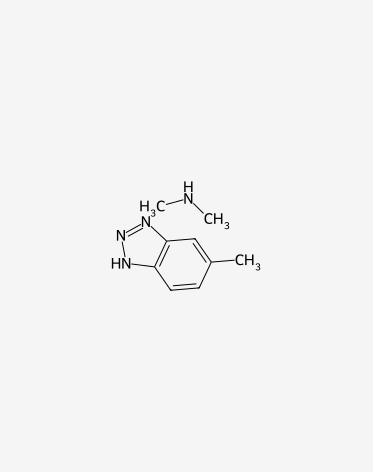 CNC.Cc1ccc2[nH]nnc2c1